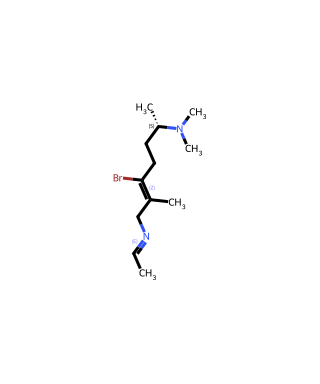 C/C=N/C/C(C)=C(\Br)CC[C@H](C)N(C)C